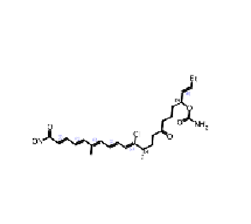 CC/C=C/[C@H](CCCC(=O)CC[C@H](C)/C(Cl)=C/C=C/C=C(C)/C=C/C=C/C(=O)N=O)OC(N)=O